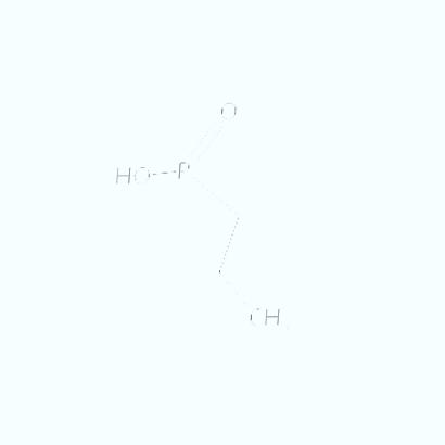 CCC[P](=O)O